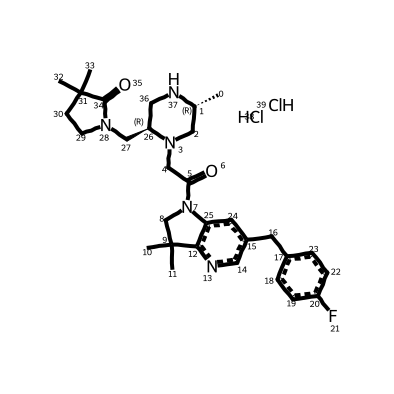 C[C@@H]1CN(CC(=O)N2CC(C)(C)c3ncc(Cc4ccc(F)cc4)cc32)[C@@H](CN2CCC(C)(C)C2=O)CN1.Cl.Cl